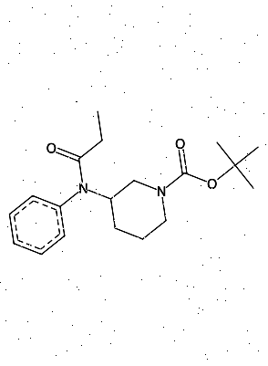 CCC(=O)N(c1ccccc1)C1CCCN(C(=O)OC(C)(C)C)C1